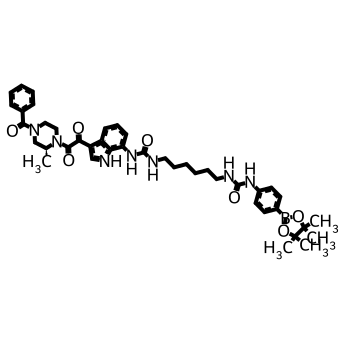 C[C@@H]1CN(C(=O)c2ccccc2)CCN1C(=O)C(=O)c1c[nH]c2c(NC(=O)NCCCCCCNC(=O)Nc3ccc(B4OC(C)(C)C(C)(C)O4)cc3)cccc12